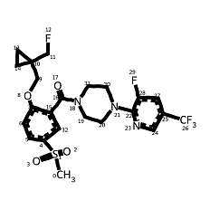 CS(=O)(=O)c1ccc(OCC2(CF)CC2)c(C(=O)N2CCN(c3ncc(C(F)(F)F)cc3F)CC2)c1